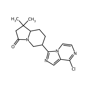 CC1(C)CC(=O)N2CC(c3ncc4c(Cl)nccn34)CCC21